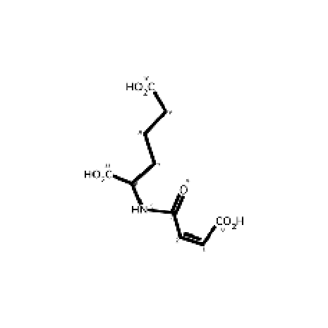 O=C(O)/C=C\C(=O)NC(CCCC(=O)O)C(=O)O